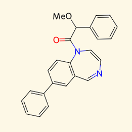 COC(C(=O)N1C=CN=Cc2cc(-c3ccccc3)ccc21)c1ccccc1